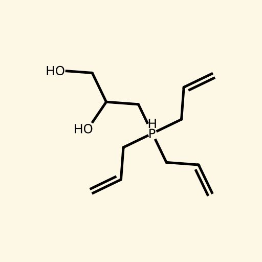 C=CC[PH](CC=C)(CC=C)CC(O)CO